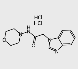 Cl.Cl.O=C(Cn1cnc2ccccc21)NN1CCOCC1